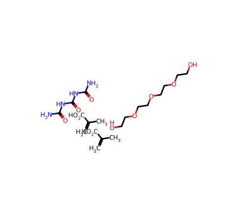 C=C(C)C(=O)O.C=C(C)C(=O)O.NC(=O)NC(=O)NC(N)=O.OCCOCCOCCOCCO